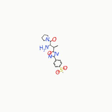 CC(c1nc(-c2ccc(S(C)(=O)=O)cc2)no1)C(N)C(=O)N1CCCC1